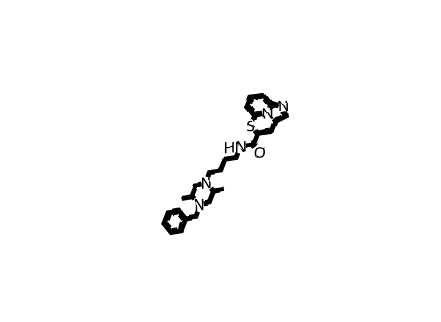 CC1CN(Cc2ccccc2)C(C)CN1CCCCNC(=O)C1=Cc2cnc3cccc(n23)S1